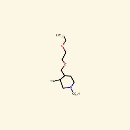 CCOC(=O)COCCOCC1CCN(C(=O)O)CC1C(C)(C)C